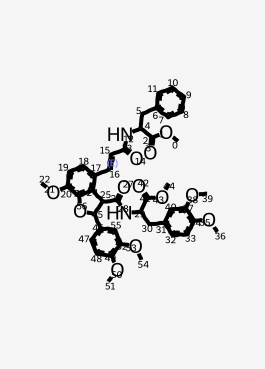 COC(=O)C(Cc1ccccc1)NC(=O)/C=C/c1ccc(OC)c2c1C(C(=O)NC(Cc1ccc(OC)c(OC)c1)C(=O)OC)C(c1ccc(OC)c(OC)c1)O2